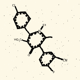 CCn1c(C)c(-c2ccc(F)c(C#N)c2)c(=O)c(C(=O)O)c1-c1ccc(Cl)cc1